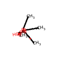 CCCCCCCCCCCCCCCCCCOC1CC(COc2ccc(CO)c(OC)c2)CC(OCCCCCCCCCCCCCCCCCC)C1OCCCCCCCCCCCCCCCCCC